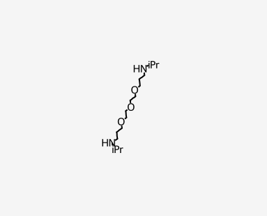 CC(C)NCCCOCCOCCOCCCNC(C)C